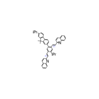 CC(C)c1ccc2c(c1)C(C)(C)c1cc(-c3cc(/C=C/c4ccc5ccccc5n4)c(C(C)C)cc3/C=C/c3ccc4ccccc4n3)ccc1-2